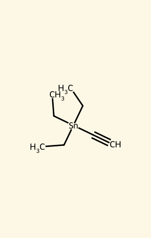 C#[C][Sn]([CH2]C)([CH2]C)[CH2]C